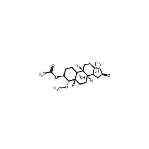 CO[C@@H]1[C@@H](OC(C)=O)CC[C@@]2(C)[C@@H]3CC[C@]4(C)CC(=O)C[C@H]4[C@@H]3CC[C@H]12